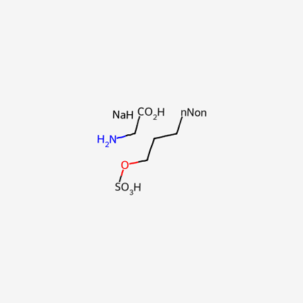 CCCCCCCCCCCCOS(=O)(=O)O.NCC(=O)O.[NaH]